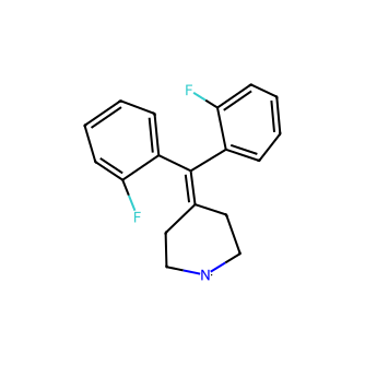 Fc1ccccc1C(=C1CC[N]CC1)c1ccccc1F